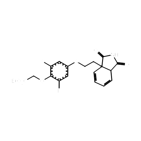 CCOC(=O)COc1c(F)cc(SCCC23C=CC=CC2C(=O)NC3=O)cc1F